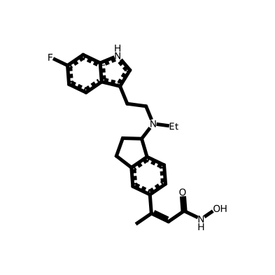 CCN(CCc1c[nH]c2cc(F)ccc12)C1CCc2cc(/C(C)=C\C(=O)NO)ccc21